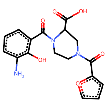 Nc1cccc(C(=O)N2CCN(C(=O)c3ccco3)CC2C(=O)O)c1O